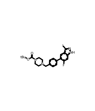 CC(C)(C)OC(=O)N1CCN(Cc2ccc(-c3cc4c(I)n[nH]c4cc3F)cc2)CC1